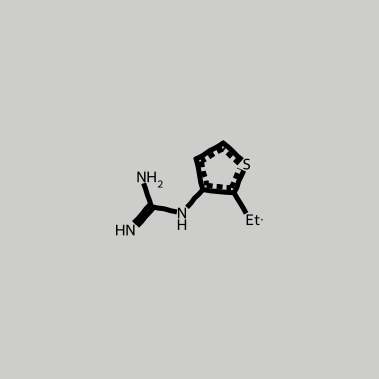 C[CH]c1sccc1NC(=N)N